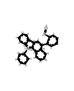 O=Nc1ccccc1-c1cc2c3ccccc3n(-c3ccccc3)c2c2ccccc12